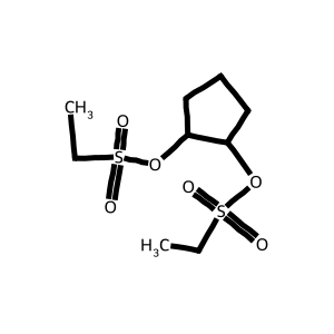 CCS(=O)(=O)OC1CCCC1OS(=O)(=O)CC